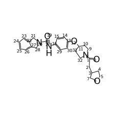 O=C(CC1CCOC1)N1CCC(Oc2ccc(NC(=O)N3Cc4ccccc4C3)cc2)CC1